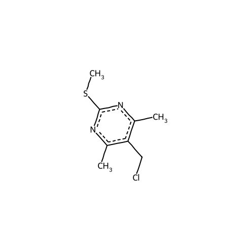 CSc1nc(C)c(CCl)c(C)n1